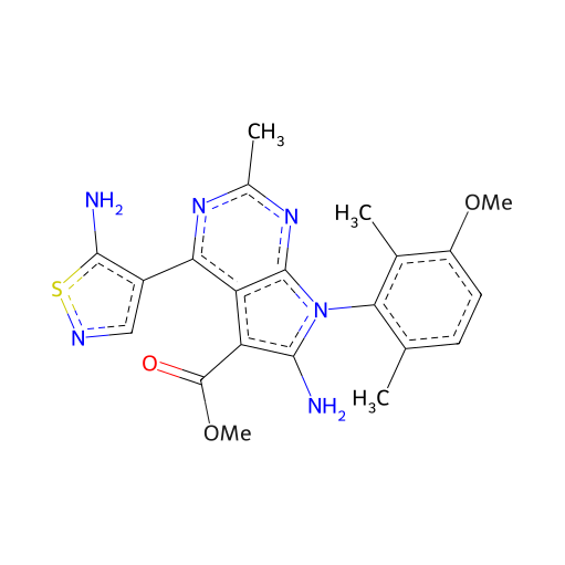 COC(=O)c1c(N)n(-c2c(C)ccc(OC)c2C)c2nc(C)nc(-c3cnsc3N)c12